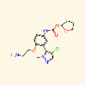 Cn1ncc(Cl)c1-c1cc(NC(=O)OC2CCCO2)ccc1OCCN